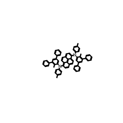 Cc1ccc(N(c2cc(-c3ccccc3)cc(-c3ccccc3)c2C)c2ccc3ccc4c(N(c5ccc(C)cc5)c5cc(-c6ccccc6)cc(-c6ccccc6)c5C)ccc5ccc2c3c54)cc1